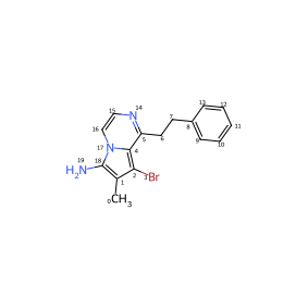 Cc1c(Br)c2c(CCc3ccccc3)nccn2c1N